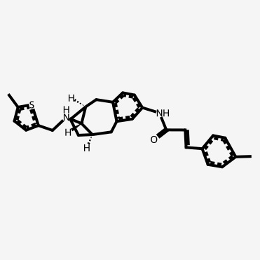 Cc1ccc(/C=C/C(=O)Nc2ccc3c(c2)C[C@H]2CC[C@@H](C3)[C@H]2NCc2ccc(C)s2)cc1